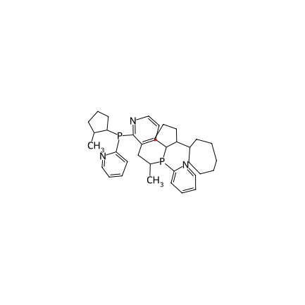 CC1CCCC1P(c1ccccn1)c1ncccc1CC(C)P(c1ccccn1)C1CCCC1C1CCCCCC1